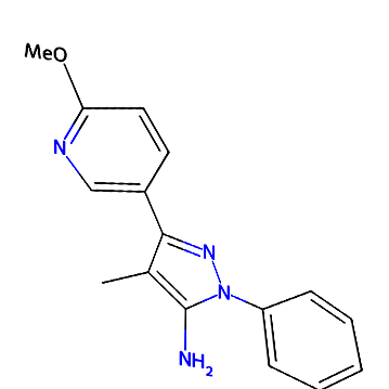 COc1ccc(-c2nn(-c3ccccc3)c(N)c2C)cn1